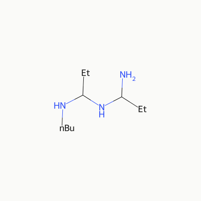 CCCCNC(CC)NC(N)CC